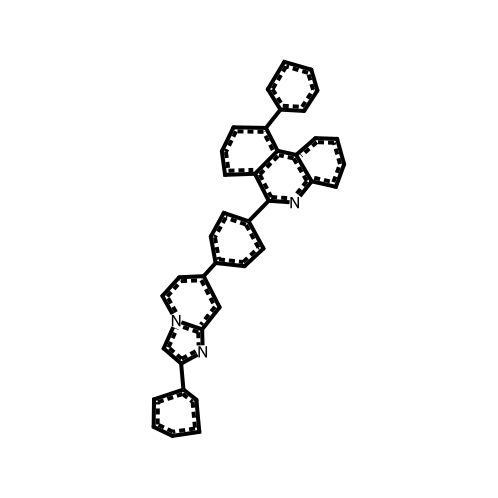 c1ccc(-c2cn3ccc(-c4ccc(-c5nc6ccccc6c6c(-c7ccccc7)cccc56)cc4)cc3n2)cc1